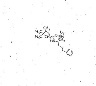 CC(/C=C/C(NCCCCc1ccccc1)O[SiH](C)C)C(C)(C)C